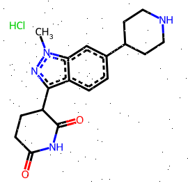 Cl.Cn1nc(C2CCC(=O)NC2=O)c2ccc(C3CCNCC3)cc21